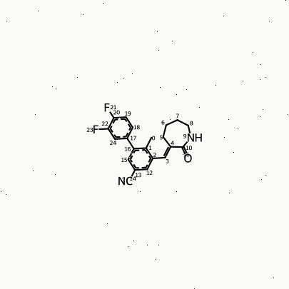 Cc1c(/C=C2\CCCCNC2=O)cc(C#N)cc1-c1ccc(F)c(F)c1